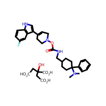 CN(C)C1(c2ccccc2)CCC(CNC(=O)ON2CC=C(c3c[nH]c4ccc(F)cc34)CC2)CC1.O=C(O)CC(O)(CC(=O)O)C(=O)O